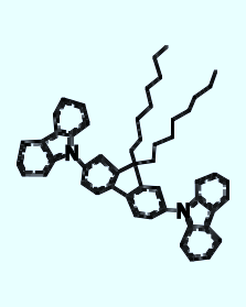 CCCCCCCCC1(CCCCCCCC)c2cc(-n3c4ccccc4c4ccccc43)ccc2-c2ccc(-n3c4ccccc4c4ccccc43)cc21